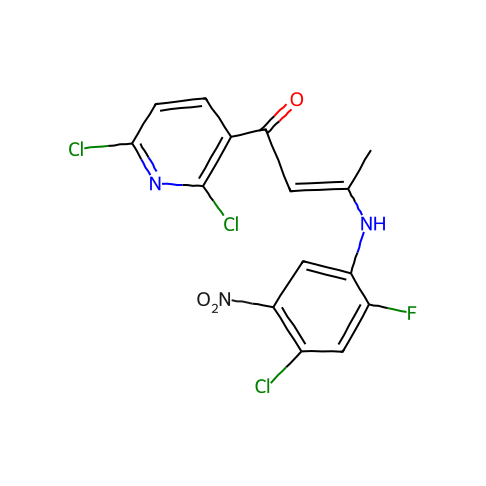 C/C(=C\C(=O)c1ccc(Cl)nc1Cl)Nc1cc([N+](=O)[O-])c(Cl)cc1F